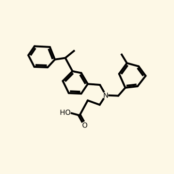 Cc1cccc(CN(CCC(=O)O)Cc2cccc(C(C)c3ccccc3)c2)c1